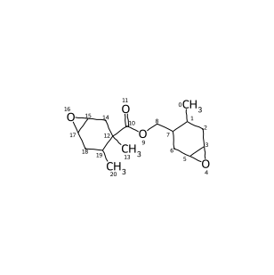 CC1CC2OC2CC1COC(=O)C1(C)CC2OC2CC1C